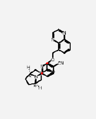 N#Cc1ccc(N2[C@@H]3CC[C@H]2CN(C(=O)COCc2cccc4nccnc24)C3)nc1